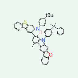 Cc1cc2c3c4c1c1cc5c(cc1n4-c1cc4c(cc1B3N(c1ccc(C(C)(C)C)cc1)c1cc3sc6ccccc6c3cc1-2)C(C)(C)c1ccccc1-4)oc1ccccc15